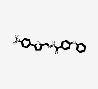 O=C(NN=Cc1ccc(-c2ccc([N+](=O)[O-])cc2)o1)c1ccc(Oc2ccccc2)cc1